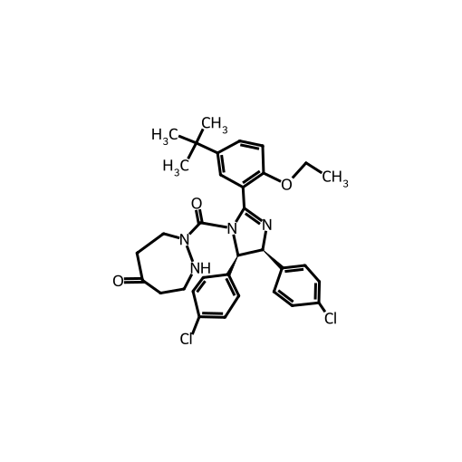 CCOc1ccc(C(C)(C)C)cc1C1=N[C@@H](c2ccc(Cl)cc2)[C@@H](c2ccc(Cl)cc2)N1C(=O)N1CCC(=O)CCN1